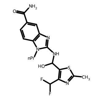 CCCn1c(NC(O)c2sc(C)nc2C(F)F)nc2cc(C(N)=O)ccc21